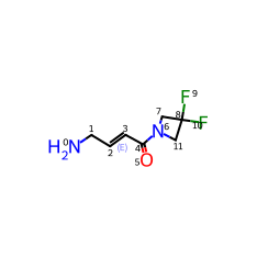 NC/C=C/C(=O)N1CC(F)(F)C1